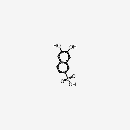 O=S(=O)(O)c1ccc2cc(O)c(O)cc2c1